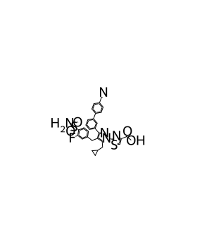 N#Cc1ccc(-c2cccc(-c3nn(-c4nc(C(=O)O)cs4)c(CC4CC4)c3Cc3ccc(S(N)(=O)=O)c(F)c3)c2)cc1